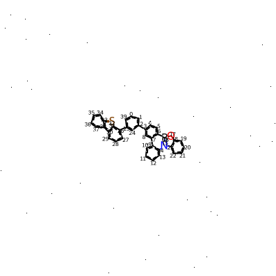 c1cc(-c2ccc3c(c2)-c2ccccc2N2B3Oc3ccccc32)cc(-c2cccc3c2sc2ccccc23)c1